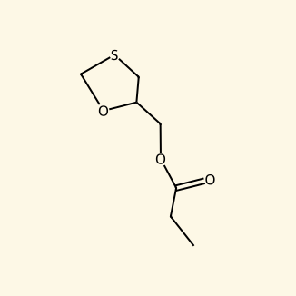 CCC(=O)OCC1CSCO1